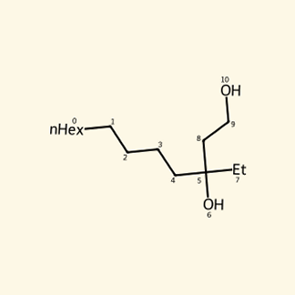 CCCCCCCCCCC(O)(CC)CCO